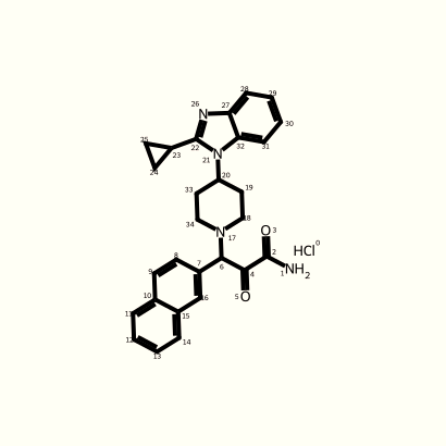 Cl.NC(=O)C(=O)C(c1ccc2ccccc2c1)N1CCC(n2c(C3CC3)nc3ccccc32)CC1